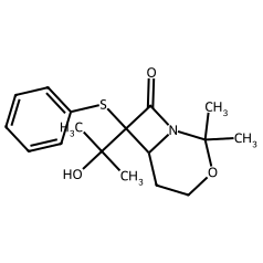 CC1(C)OCCC2N1C(=O)C2(Sc1ccccc1)C(C)(C)O